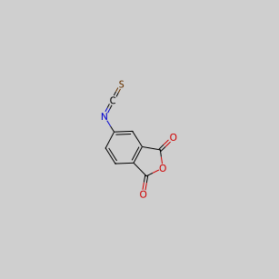 O=C1OC(=O)c2cc(N=C=S)ccc21